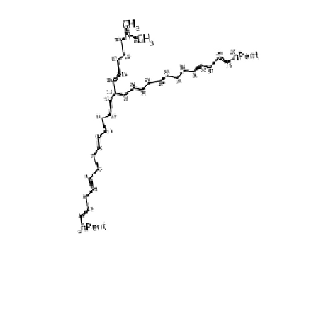 CCCCCC=CCC=CCCCCCCCCC(C=CCCCN(C)C)CCCCCCCCC=CCC=CCCCCC